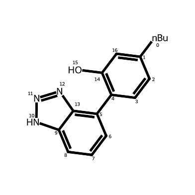 CCCCc1ccc(-c2cccc3[nH]nnc23)c(O)c1